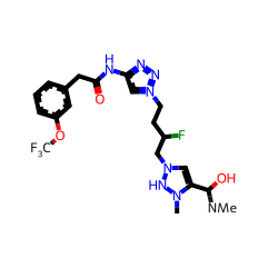 CNC(O)C1=CN(CC(F)CCn2cc(NC(=O)Cc3cccc(OC(F)(F)F)c3)nn2)NN1C